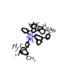 CCC1CCC2(c3ccc(-c4ccccc4-c4nc(-c5ccc(C67C[C@H](C)C[C@H](C[C@H](C)C6)C7)cc5)nc(-c5ccc(-c6cccc(C#N)c6)c6ccccc56)n4)c4ccccc34)C[C@@H](C)C[C@@H]1C2